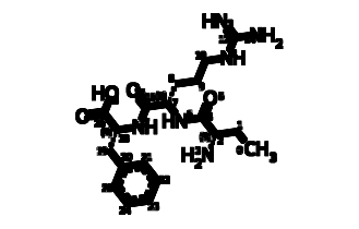 CC[C@H](N)C(=O)N[C@@H](CCCNC(=N)N)C(=O)N[C@H](Cc1ccccc1)C(=O)O